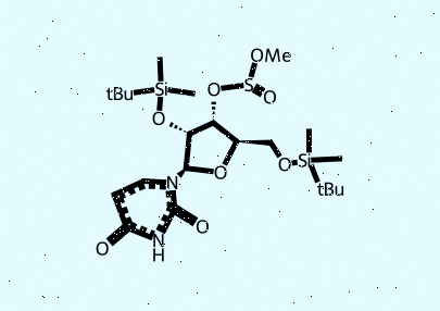 COS(=O)O[C@H]1[C@@H](O[Si](C)(C)C(C)(C)C)[C@H](n2ccc(=O)[nH]c2=O)O[C@@H]1CO[Si](C)(C)C(C)(C)C